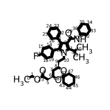 CCOC(=O)C[C@H]1C[C@@H](CCn2c(-c3ccc(F)cc3)c(-c3ccccc3)c(C(=O)Nc3ccccc3)c2C(C)C)OC2(CCCCC2)O1